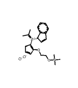 C[C](C)=[Zr+2]([C]1=C(OCCO[Si](C)(C)C)C=CC1)[CH]1C=Cc2ccccc21.[Cl-].[Cl-]